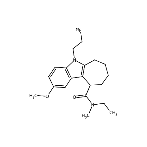 CCN(C)C(=O)C1CCCCc2c1c1cc(OC)ccc1n2CC[18F]